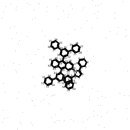 C1=CCCC(C2=CCC(c3ccccc3)N2c2ccc3c(-c4cc(-c5ccccc5)cc(-c5ccccc5)c4)c4ccccc4c(-c4cc(-c5ccccc5)cc(-c5ccccc5)c4)c3c2)=C1